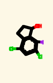 OC1CCc2c(Cl)cc(Cl)c(I)c21